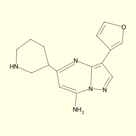 Nc1cc(C2CCCNC2)nc2c(-c3ccoc3)cnn12